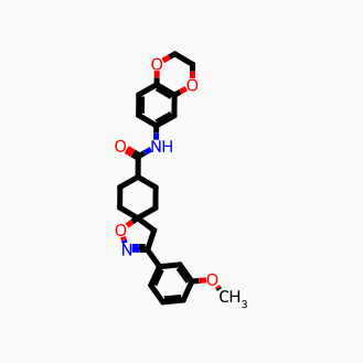 COc1cccc(C2=NOC3(CCC(C(=O)Nc4ccc5c(c4)OCCO5)CC3)C2)c1